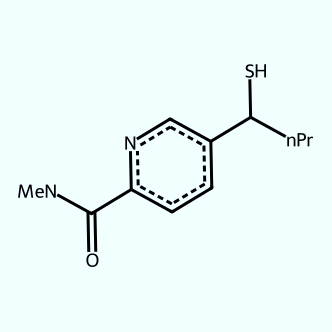 CCCC(S)c1ccc(C(=O)NC)nc1